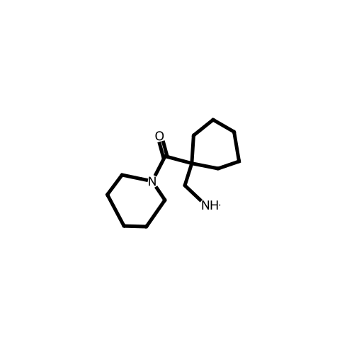 [NH]CC1(C(=O)N2CCCCC2)CCCCC1